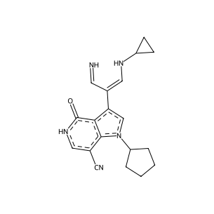 N#Cc1c[nH]c(=O)c2c(/C(C=N)=C/NC3CC3)cn(C3CCCC3)c12